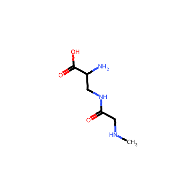 CNCC(=O)NCC(N)C(=O)O